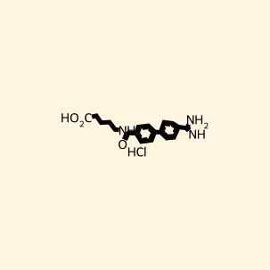 Cl.N=C(N)c1ccc(-c2ccc(C(=O)NCCCCC(=O)O)cc2)cc1